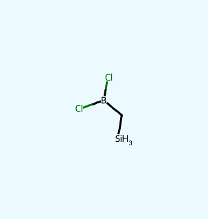 [SiH3]CB(Cl)Cl